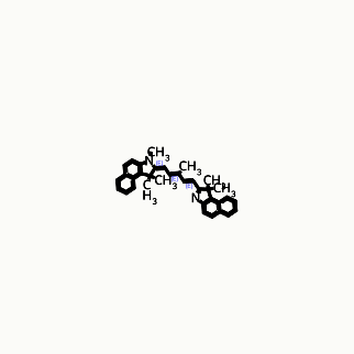 CC(/C=C/C1=Nc2ccc3ccccc3c2C1(C)C)=C\C=C1\N(C)c2ccc3ccccc3c2C1(C)C